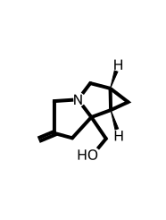 C=C1CN2C[C@@H]3C[C@@H]3C2(CO)C1